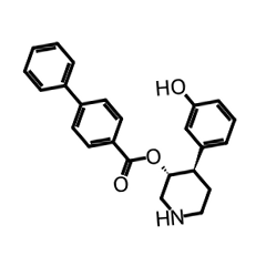 O=C(O[C@H]1CNCC[C@@H]1c1cccc(O)c1)c1ccc(-c2ccccc2)cc1